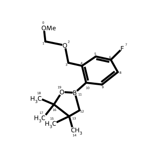 COCOCc1cc(F)ccc1B1CC(C)(C)C(C)(C)O1